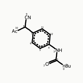 [CH2]CCCC(=O)Nc1ccc(C(C#N)C(C)=O)cc1